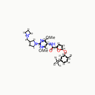 COc1nc(N2CCC(CN3CCC3)C2)nc(OC)c1NC(=O)c1ccc(Oc2cc([Si](C)(C)C)ccc2C)o1